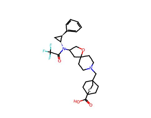 O=C(N(C1COC2(CCN(CC34CCC(C(=O)O)(CC3)CC4)CC2)C1)[C@@H]1C[C@H]1c1ccccc1)C(F)(F)F